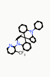 FC(F)(F)c1cccnc1N1c2ccccc2C2(c3ccccc3N(c3ccccc3)c3ccccc32)c2ccccc21